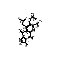 CC(=O)Oc1c(C(F)(F)F)nc(C(F)F)c(C(=O)n2cc(I)cn2)c1CC(C)C